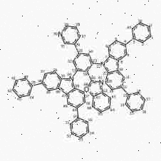 c1ccc(-c2ccc3c(c2)c2cc(-c4ccccc4)ccc2n3-c2cc(-c3cccnc3)cc(-n3c4ccc(-c5ccccc5)cc4c4cc(-c5ccccc5)ccc43)c2-c2nc3ccccc3o2)cc1